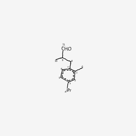 Cc1cc(C(C)C)ccc1CC(C)C=O